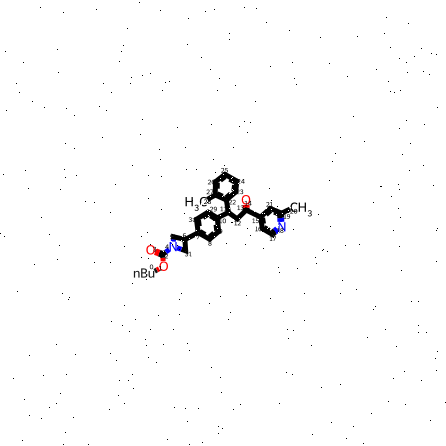 CCCCOC(=O)N1CC(c2ccc(C(CC(=O)c3ccnc(C)c3)c3ccccc3C)cc2)C1